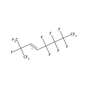 FC(F)(F)C(F)(F)C(F)(F)C(F)(F)/C=C/C(F)(C(F)(F)F)C(F)(F)F